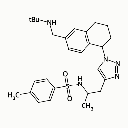 Cc1ccc(S(=O)(=O)NC(C)Cc2cn(C3CCCc4cc(CNC(C)(C)C)ccc43)nn2)cc1